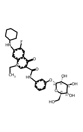 CCn1cc(C(=O)Nc2cccc(O[C@H]3O[C@H](CO)[C@@H](O)[C@H](O)[C@H]3O)c2)c(=O)c2cc(F)c(NC3CCCCC3)cc21